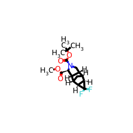 COC(=O)[C@@H]1[C@@H]2[C@H](CN1C(=O)OC(C)(C)C)[C@H]1C[C@@H]2[C@H]2[C@@H]1C2(F)F